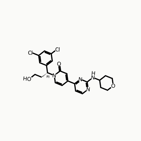 O=c1cc(-c2ccnc(NC3CCOCC3)n2)ccn1[C@H](CCO)c1cc(Cl)cc(Cl)c1